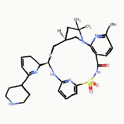 CC(C)(C)c1ccc2c(n1)N1C[C@@H](CC[C@H](C3CC=CC(C4CCNCC4)=N3)Nc3cccc(n3)S(=O)(=O)NC2=O)CC1(C)C